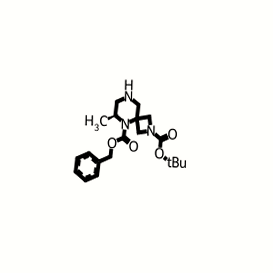 C[C@H]1CNCC2(CN(C(=O)OC(C)(C)C)C2)N1C(=O)OCc1ccccc1